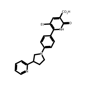 CCc1cc(C(=O)O)c(=O)[nH]c1-c1ccc(N2CCC(c3ccccn3)C2)cc1